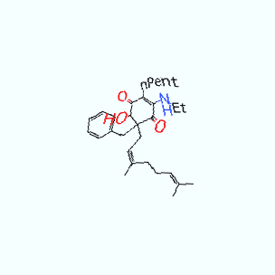 CCCCCC1=C(NCC)C(=O)C(CC=C(C)CCC=C(C)C)(Cc2ccccc2)C(O)C1=O